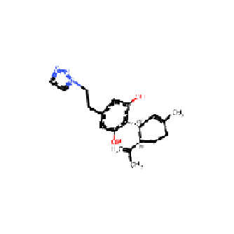 C=C(C)[C@@H]1CCC(C)=C[C@H]1c1c(O)cc(CCn2ccnn2)cc1O